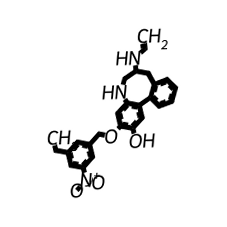 C=CNC1CNc2cc(OCc3cc(CC)cc([N+](=O)[O-])c3)c(O)cc2-c2ccccc2C1